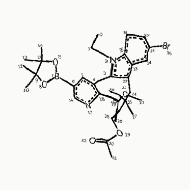 CCn1c(-c2cc(B3OC(C)(C)C(C)(C)O3)cnc2[C@H](C)OC)c(CC(C)(C)COC(C)=O)c2cc(Br)ccc21